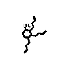 C=CCCc1ccc(N)c(CCC=C)c1CCC=C